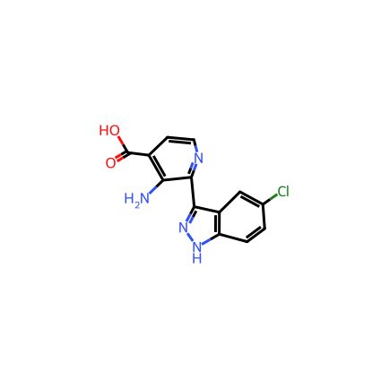 Nc1c(C(=O)O)ccnc1-c1n[nH]c2ccc(Cl)cc12